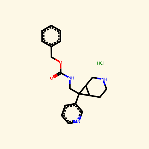 Cl.O=C(NCC1(c2cccnc2)C2CCNCC21)OCc1ccccc1